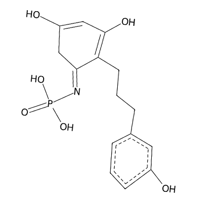 O=P(O)(O)N=C1CC(O)=CC(O)=C1CCCc1cccc(O)c1